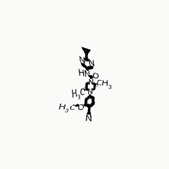 CCOc1cc(N2C[C@@H](C)N(C(=O)Nc3cnc(C4CC4)nc3)C[C@@H]2C)ccc1C#N